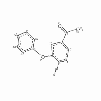 O=C(c1ccc(F)c(Oc2ccccc2)c1)C(F)(F)F